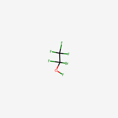 FOC(F)(Br)C(F)(F)F